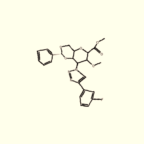 COC(=O)C1OC2CO[C@@H](c3ccccc3)OC2C(n2cc(-c3cccc(F)c3)nn2)C1OC